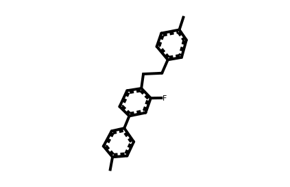 Cc1ccc(CCc2ccc(-c3ccc(C)cc3)cc2F)cc1